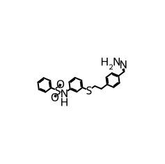 N/N=C\c1ccc(CCSc2cccc(NS(=O)(=O)c3ccccc3)c2)cc1